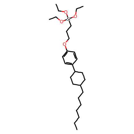 CCCCCCCC1CCC(c2ccc(OCCC[Si](OCC)(OCC)OCC)cc2)CC1